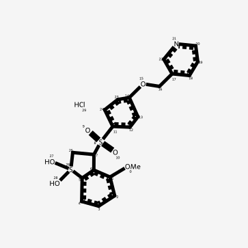 COc1cccc2c1C(S(=O)(=O)c1ccc(OCc3cccnc3)cc1)CS2(O)O.Cl